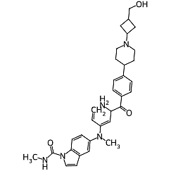 C=C/C(=C\C(N)C(=O)c1ccc(C2CCN(C3CC(CO)C3)CC2)cc1)N(C)c1ccc2c(ccn2C(=O)NC)c1